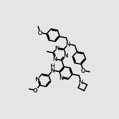 COc1ccc(CN(Cc2ccc(OC)cc2)c2nc(C)nc(-c3cc(CN4CCC4)cnc3Nc3ccc(OC)nc3)n2)cc1